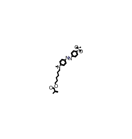 C=C(C)C(=O)OCCCCCCN(C)c1ccc(/N=N/c2ccc(S(C)(=O)=O)cc2)cc1